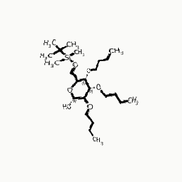 CCCCOC1[C@H](O)OC(CO[Si](C)(C)C(C)(C)C)[C@H](OCCCC)[C@@H]1OCCCC